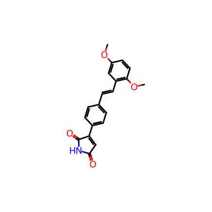 COc1ccc(OC)c(C=Cc2ccc(C3=CC(=O)NC3=O)cc2)c1